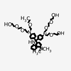 CCCOCCN(CCOCCOCCO)c1ccc(C(Nc2ccccc2)(c2ccc(N(C)C)cc2)c2ccc(N(CCOCCO)CCOCCOCCO)cc2)cc1